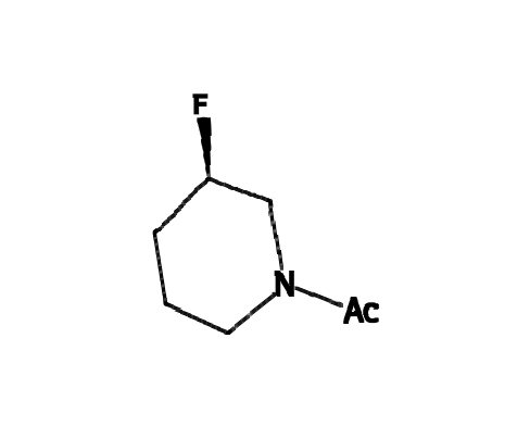 CC(=O)N1CCC[C@@H](F)C1